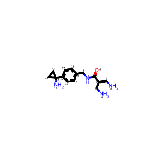 N/C=C(\CN)C(=O)NCc1ccc(C2(N)CC2)cc1